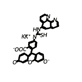 O=C([O-])c1cc(N=C(S)Nc2cc3cccnc3c3ncccc23)ccc1-c1c2ccc(=O)cc-2oc2cc([O-])ccc12.[K+].[K+]